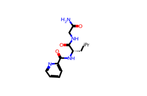 CC(C)C[C@H](NC(=O)c1ccccn1)C(=O)NCC(N)=O